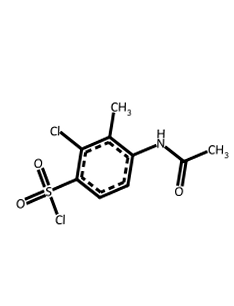 CC(=O)Nc1ccc(S(=O)(=O)Cl)c(Cl)c1C